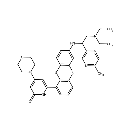 CCN(CC)CC(Nc1ccc2c(c1)Sc1cccc(-c3cc(N4CCOCC4)cc(=O)[nH]3)c1S2)c1cnc(C)cn1